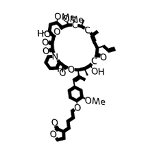 C=CC[C@@H]1/C=C(\C)C[C@H](C)C[C@H](OC)C2O[C@@](O)(C(=O)C(=O)N3CCCC[C@H]3C(=O)O[C@H](/C(C)=C/[C@@H]3CC[C@@H](OCCCCC4CCOC4=O)[C@H](OC)C3)[C@H](C)[C@@H](O)CC1=O)[C@H](C)C[C@@H]2OC